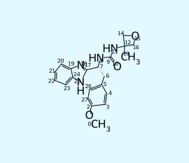 COc1ccc(C[C@@H](NC(=O)NC2(C)COC2)c2nc3ccccc3[nH]2)cc1